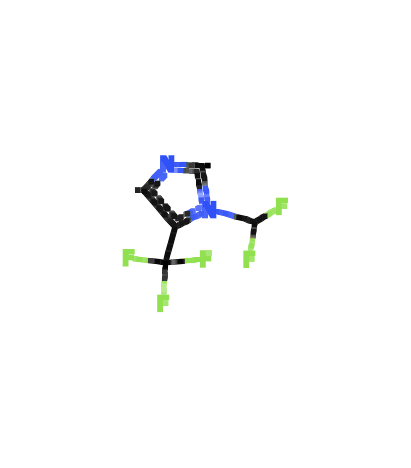 FC(F)n1[c]n[c]c1C(F)(F)F